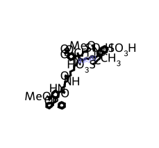 COCC[N+]1=C(/C=C/C=C/C=C2/N(CCCCCC(=O)NCCNC(=O)c3ccc(C(=O)OC)c(P(c4ccccc4)c4ccccc4)c3)c3ccc(S(=O)(=O)[O-])cc3C2(C)CCCS(=O)(=O)O)C(C)(CCCS(=O)(=O)O)c2cc(S(=O)(=O)O)ccc21